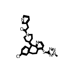 Cn1nnc(Sc2ccnc3c2CCc2cc(Cl)ccc2C3=C2CCN(C(=O)Cc3cccnc3)CC2)n1